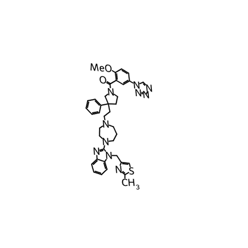 COc1ccc(-n2cnnn2)cc1C(=O)N1CCC(CCN2CCCN(c3nc4ccccc4n3Cc3csc(C)n3)CC2)(c2ccccc2)C1